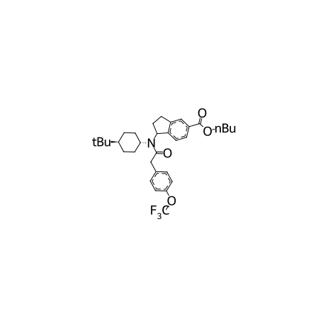 CCCCOC(=O)c1ccc2c(c1)CCC2N(C(=O)Cc1ccc(OC(F)(F)F)cc1)[C@H]1CC[C@H](C(C)(C)C)CC1